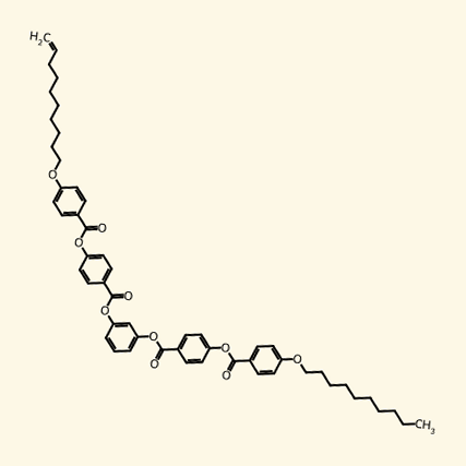 C=CCCCCCCCCOc1ccc(C(=O)Oc2ccc(C(=O)Oc3cccc(OC(=O)c4ccc(OC(=O)c5ccc(OCCCCCCCCCC)cc5)cc4)c3)cc2)cc1